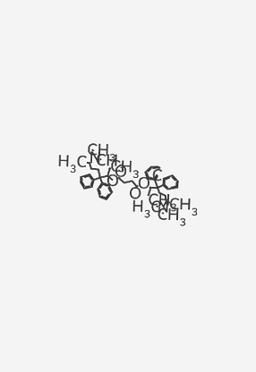 CCC(OC(=O)CCC(=O)OC(CC)C(CCC(C)N(C)C)(c1ccccc1)c1ccccc1)C(CCC(C)N(C)C)(c1ccccc1)c1ccccc1